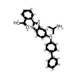 CC(C)N.O=C(O)c1ccccc1-c1nc2ccc(Oc3ccc(-c4ccccc4)cc3)cc2o1